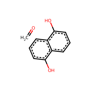 C=O.Oc1cccc2c(O)cccc12